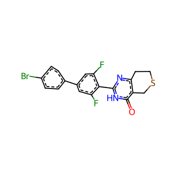 O=c1[nH]c(-c2c(F)cc(-c3ccc(Br)cc3)cc2F)nc2c1CSCC2